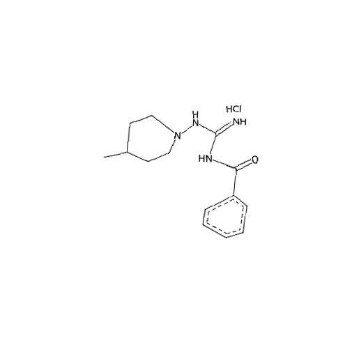 CC1CCN(NC(=N)NC(=O)c2ccccc2)CC1.Cl